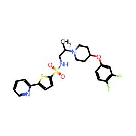 CC(CNS(=O)(=O)c1ccc(-c2ccccn2)s1)N1CCC(Oc2ccc(F)c(F)c2)CC1